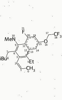 C\C=C/C(=C\CC)C(/CC(C)CC)=C(/NC)c1c(F)cc(OCC(F)(F)F)cc1F